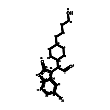 O=CC(N1CCC(CCCCO)CC1)n1c(=O)sc2ncc(Br)cc21